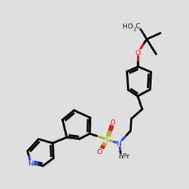 CCCN(CCCc1ccc(OC(C)(C)C(=O)O)cc1)S(=O)(=O)c1cccc(-c2ccncc2)c1